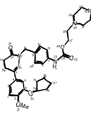 COc1ccc(C2=NN(Cc3ccc(NC(=O)OCCN4CCNCC4)cc3)C(=O)CC2)cc1OC1CCCC1